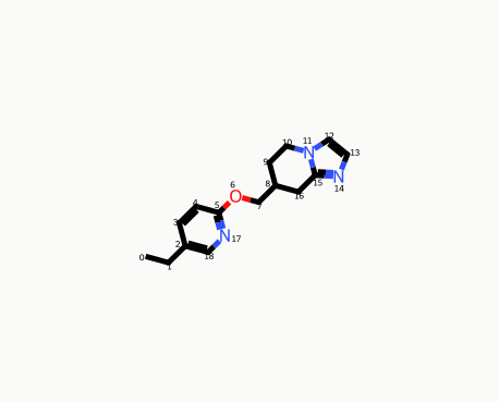 CCc1ccc(OCC2CCn3ccnc3C2)nc1